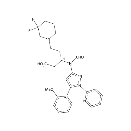 COc1ccccc1-c1cc(N(C=O)[C@@H](CCN2CCCC(F)(F)C2)CC(=O)O)nn1-c1ccccn1